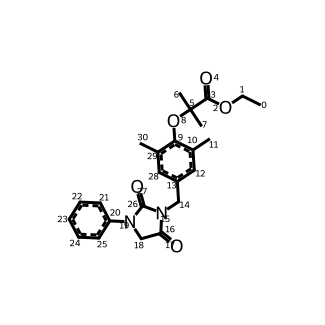 CCOC(=O)C(C)(C)Oc1c(C)cc(CN2C(=O)CN(c3ccccc3)C2=O)cc1C